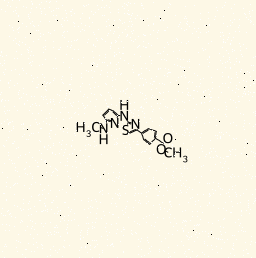 CNc1cccc(Nc2nc(-c3ccc(C(=O)OC)cc3)cs2)n1